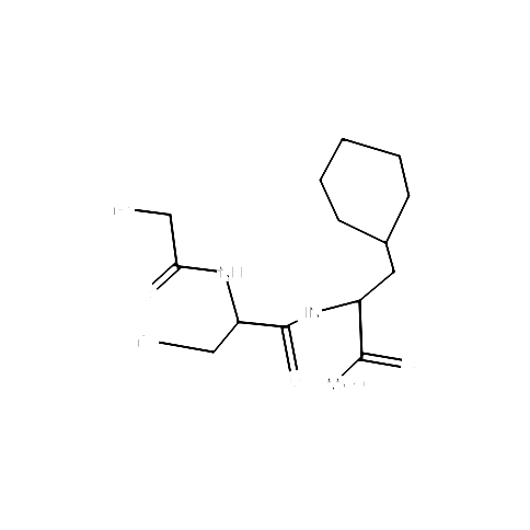 COC(=O)C(CC1CCCCC1)NC(=O)C(CC(C)C)NC(=O)CC(C)C